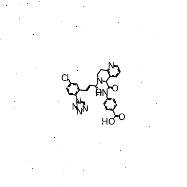 O=C(O)c1ccc(NC(=O)C2c3cccnc3CCN2C(=O)C=Cc2cc(Cl)ccc2-n2cnnn2)cc1